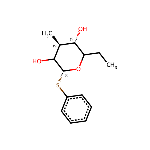 CCC1O[C@H](Sc2ccccc2)C(O)[C@@H](C)[C@@H]1O